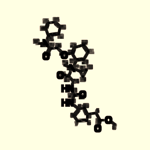 COC(=O)Cc1cccc(NC(=O)NCC(=O)[N+](C)(c2ccccc2OCC(=O)N(C)c2ccccc2)C2CC2)c1